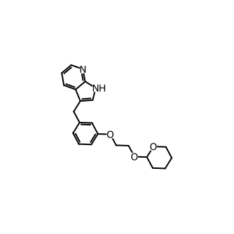 c1cc(Cc2c[nH]c3ncccc23)cc(OCCOC2CCCCO2)c1